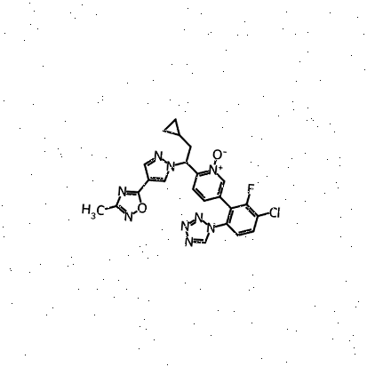 Cc1noc(-c2cnn(C(CC3CC3)c3ccc(-c4c(-n5cnnn5)ccc(Cl)c4F)c[n+]3[O-])c2)n1